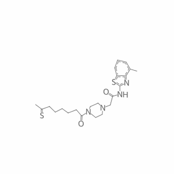 CC(=S)CCCCCC(=O)N1CCN(CC(=O)Nc2nc3c(C)cccc3s2)CC1